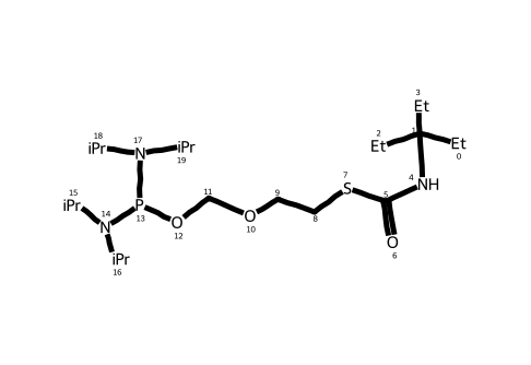 CCC(CC)(CC)NC(=O)SCCOCOP(N(C(C)C)C(C)C)N(C(C)C)C(C)C